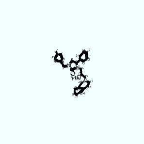 Cc1ccc(CN2CC(c3ccccc3)N(CC(O)CN3CCc4ccccc4C3)C2=O)cc1